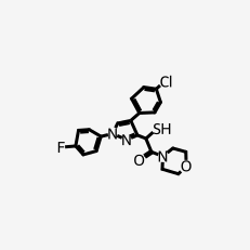 O=C(C(S)c1nn(-c2ccc(F)cc2)cc1-c1ccc(Cl)cc1)N1CCOCC1